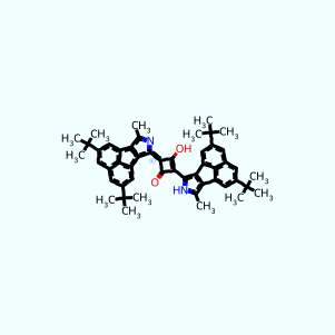 Cc1[nH]c(C2=C(O)/C(=c3\nc(C)c4c5cc(C(C)(C)C)cc6cc(C(C)(C)C)cc(c3=4)c65)C2=O)c2c1-c1cc(C(C)(C)C)cc3cc(C(C)(C)C)cc-2c13